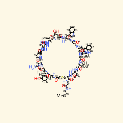 CCCC[C@H]1C(=O)N(C)[C@@H](CCCC)C(=O)N[C@@H](CC(C)C)C(=O)N[C@H](C(=O)NCC(=O)NCCOC)CSCC(=O)N[C@@H](Cc2ccc(O)cc2)C(=O)N(C)[C@@H](C)C(=O)N[C@@H](CC(N)=O)C(=O)N2CCC[C@H]2C(=O)N[C@@H](CN)C(=O)N[C@@H](CC(C)C)C(=O)N2C[C@H](O)C[C@H]2C(=O)N[C@@H](Cc2c[nH]c3ccccc23)C(=O)NCC(=O)NC(Cc2c[nH]c3ccccc23)C(=O)N1C